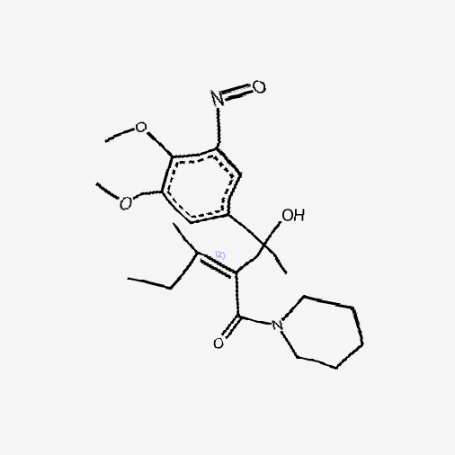 CC/C(C)=C(\C(=O)N1CCCCC1)C(C)(O)c1cc(N=O)c(OC)c(OC)c1